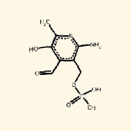 Cc1nc(N)c(COP(=O)(O)O)c(C=O)c1O